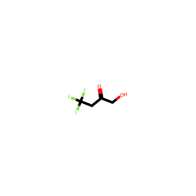 O=C([CH]C(F)(F)F)CO